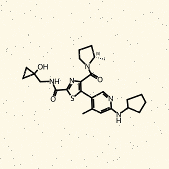 Cc1cc(NC2CCCC2)ncc1-c1sc(C(=O)NCC2(O)CC2)nc1C(=O)N1CCC[C@@H]1C